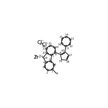 Cc1ccc2c(c1)-c1c(C3=C(c4ccccc4)C=CC3)cccc1[CH]2[Zr+2].[Cl-].[Cl-]